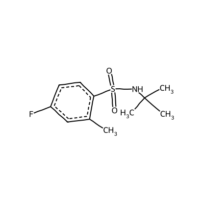 Cc1cc(F)ccc1S(=O)(=O)NC(C)(C)C